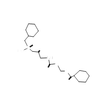 O=C(CNC(=O)OCOC(=O)C1CCCCC1)CP(=O)(O)CC1CCCCC1